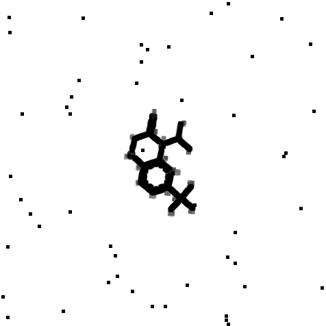 CC(C)N1C(=O)COc2ccc(C(C)(C)C)nc21